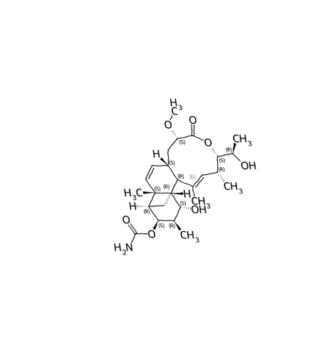 CO[C@H]1C[C@H]2C=C[C@]3(C)[C@H]4[C@H](O)[C@@H](C)[C@@H](OC(N)=O)[C@@H]3C[C@@]24/C(C)=C/[C@@H](C)[C@@H]([C@@H](C)O)OC1=O